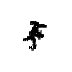 CCCOc1cc(OCCCCN)cc(Oc2cc3c(cc2N(OC(=O)C(F)(F)F)S(=O)(=O)c2ccc(OC)c(OC)c2)n(C)c(=O)n3C)c1